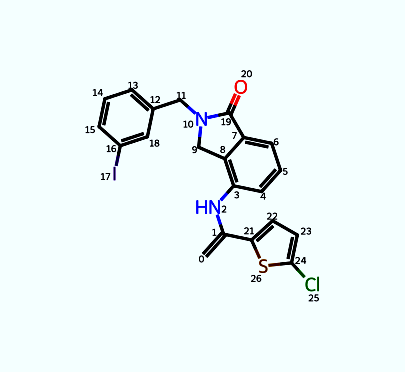 C=C(Nc1cccc2c1CN(Cc1cccc(I)c1)C2=O)c1ccc(Cl)s1